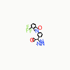 Cn1cnnc1C(c1cccc(N2Cc3c(cccc3C(F)(F)F)C2=O)c1)C1COC1